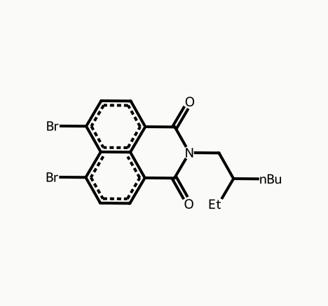 CCCCC(CC)CN1C(=O)c2ccc(Br)c3c(Br)ccc(c23)C1=O